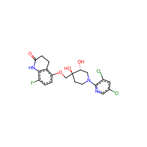 O=C1CCc2c(OC[C@@]3(O)CCN(c4ncc(Cl)cc4Cl)C[C@H]3O)ccc(F)c2N1